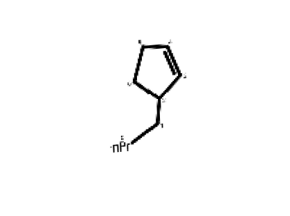 CC[CH]CC1C=CCC1